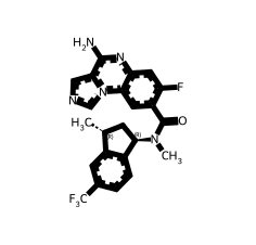 C[C@@H]1C[C@@H](N(C)C(=O)c2cc3c(cc2F)nc(N)c2cncn23)c2ccc(C(F)(F)F)cc21